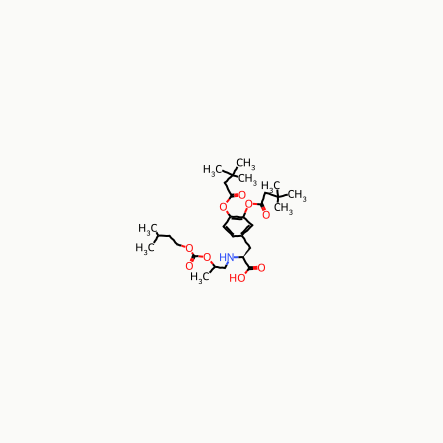 CC(C)CCOC(=O)OC(C)CN[C@@H](Cc1ccc(OC(=O)CC(C)(C)C)c(OC(=O)CC(C)(C)C)c1)C(=O)O